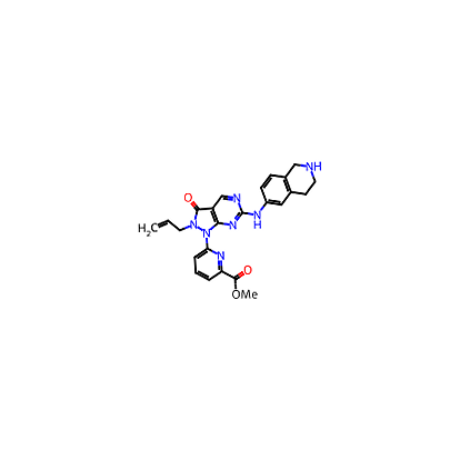 C=CCn1c(=O)c2cnc(Nc3ccc4c(c3)CCNC4)nc2n1-c1cccc(C(=O)OC)n1